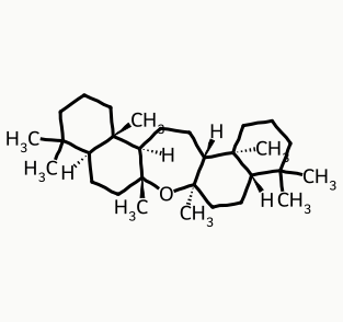 CC1(C)CCC[C@]2(C)[C@H]3CC[C@@H]4[C@@]5(C)CCCC(C)(C)[C@@H]5CC[C@@]4(C)O[C@]3(C)CC[C@@H]12